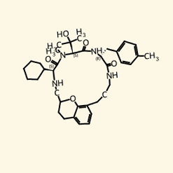 Cc1ccc(C[C@H]2NC(=O)[C@H](C(C)(C)O)N(C)C(=O)[C@H](C3CCCCC3)NCC3CCc4cccc(c4O3)CCCNC2=O)cc1